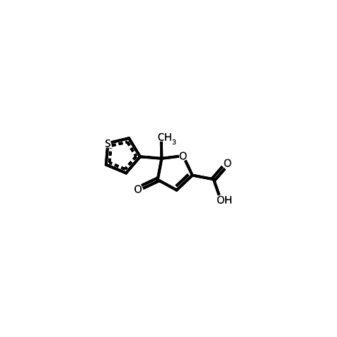 CC1(c2ccsc2)OC(C(=O)O)=CC1=O